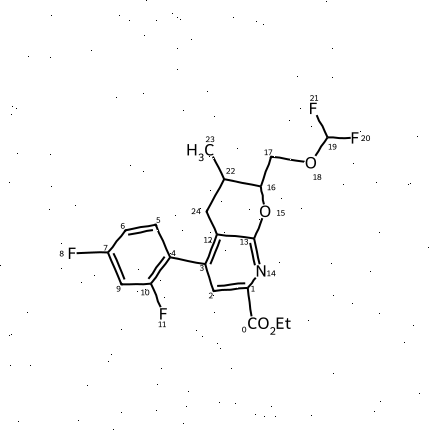 CCOC(=O)c1cc(-c2ccc(F)cc2F)c2c(n1)OC(COC(F)F)C(C)C2